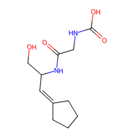 O=C(O)NCC(=O)NC(C=C1CCCC1)CO